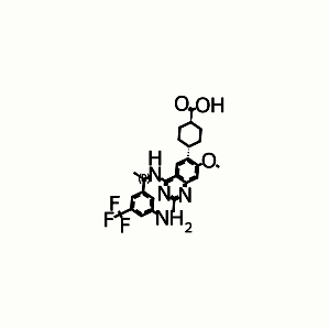 COc1cc2nc(C)nc(N[C@H](C)c3cc(N)cc(C(F)(F)F)c3)c2cc1[C@H]1CC[C@H](C(=O)O)CC1